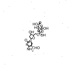 Nc1nc(=O)n(C2CC(O)C(COP(=O)(O)OP(=O)(O)OP(=O)(O)O)O2)cc1C=O